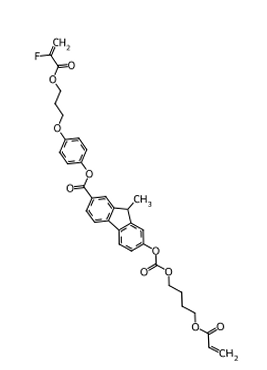 C=CC(=O)OCCCCOC(=O)Oc1ccc2c(c1)C(C)c1cc(C(=O)Oc3ccc(OCCCOC(=O)C(=C)F)cc3)ccc1-2